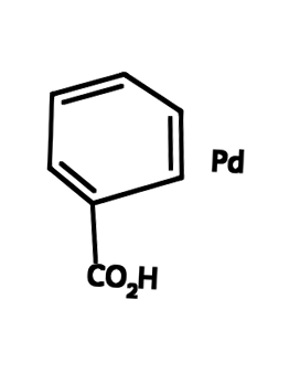 O=C(O)c1ccccc1.[Pd]